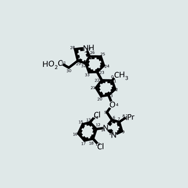 Cc1cc(OCc2c(C(C)C)cnn2-c2c(Cl)cccc2Cl)ccc1-c1ccc2[nH]cc(CC(=O)O)c2c1